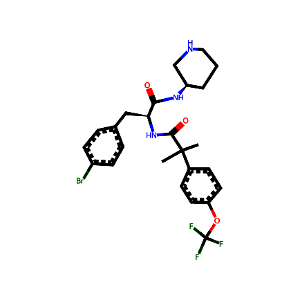 CC(C)(C(=O)N[C@@H](Cc1ccc(Br)cc1)C(=O)N[C@@H]1CCCNC1)c1ccc(OC(F)(F)F)cc1